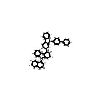 C1=c2c(n(-c3ccc(-c4ccccc4)cc3)c3ccccc23)=CC(c2cccc3c2c2ccccc2n3-c2cccc3ccccc23)C1